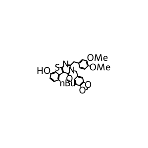 CCCCc1ccc(O)c2sc3nc(Cc4ccc(OC)c(OC)c4)n(Cc4ccc5c(c4)OCO5)c(=O)c3c12